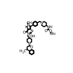 C[C@H](CC(=O)N1CCC(O)(Cn2cnc3c(-c4ccc(CN5CCC(NC(=O)OC(C)(C)C)CC5)cc4)n(C)nc3c2=O)CC1)c1ccccc1